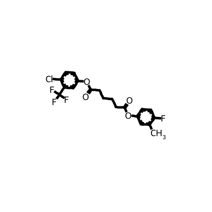 Cc1cc(OC(=O)CCCCC(=O)Oc2ccc(Cl)c(C(F)(F)F)c2)ccc1F